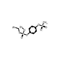 CCOP(=O)(SCC(C)C)Sc1ccc(OS(C)(=O)=O)cc1